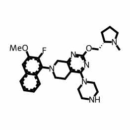 COc1cc2ccccc2c(N2CCc3c(nc(OC[C@@H]4CCCN4C)nc3N3CCNCC3)C2)c1F